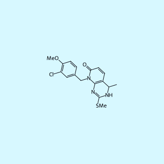 COc1ccc(Cn2c3c(ccc2=O)C(C)NC(SC)=N3)cc1Cl